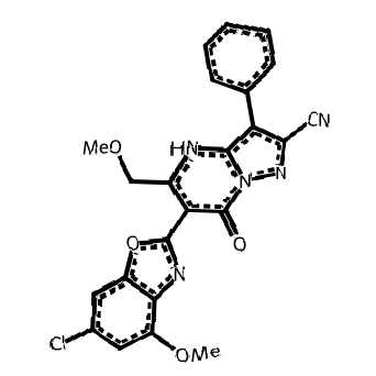 COCc1[nH]c2c(-c3ccccc3)c(C#N)nn2c(=O)c1-c1nc2c(OC)cc(Cl)cc2o1